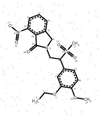 CCOc1cc(C(CN2Cc3cccc([N+](=O)[O-])c3C2=O)S(C)(=O)=O)ccc1OC